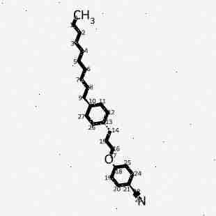 CCCCCCCCCC[C@H]1CC[C@H](CCCO[C@H]2CC[C@H](C#N)CC2)CC1